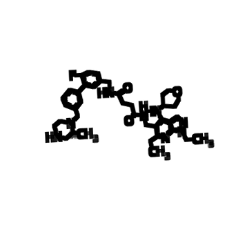 CCc1nc2c(cnn2CC)c(NC2CCOCC2)c1CNC(=O)CCC(=O)NCc1ccc(F)c(-c2cccc(CN3CCNC[C@@H]3C)c2)c1